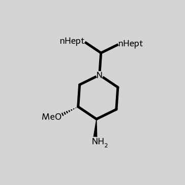 CCCCCCCC(CCCCCCC)N1CC[C@@H](N)[C@H](OC)C1